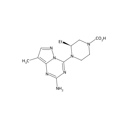 CC[C@H]1CN(C(=O)O)CCN1c1nc(N)nc2c(C)cnn12